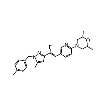 Cc1ccc(Cn2nc(C(F)=Cc3ccc(N4CC(C)OC(C)C4)nc3)cc2C)cc1